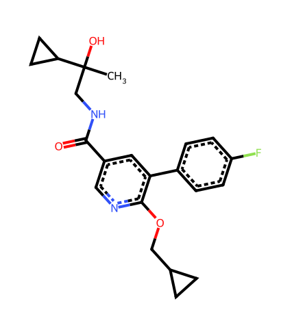 CC(O)(CNC(=O)c1cnc(OCC2CC2)c(-c2ccc(F)cc2)c1)C1CC1